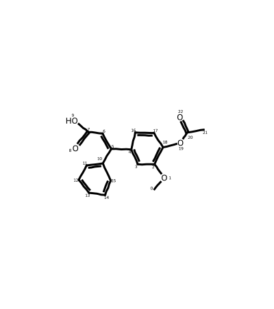 COc1cc(C(=CC(=O)O)c2ccccc2)ccc1OC(C)=O